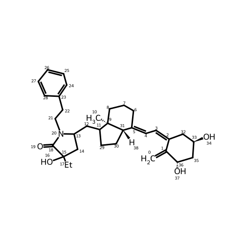 C=C1/C(=C\C=C2/CCC[C@]3(C)C(CC4CC(O)(CC)C(=O)N4CCc4ccccc4)CC[C@@H]23)C[C@@H](O)C[C@@H]1O